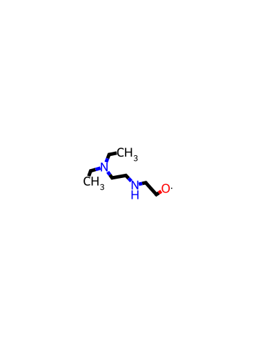 CCN(CC)CCNCC[O]